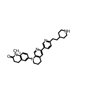 CN1C(=O)CCc2cc(N3CCCc4cc(-c5ccc(CCC6CCNCC6)nc5)ncc43)ccc21